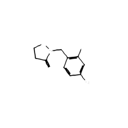 Nc1ccc(CN2OCCC2=O)c(Br)c1